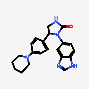 O=C1NCC(c2ccc(N3CCCCC3)cc2)N1c1ccc2[nH]cnc2c1